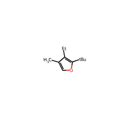 CCc1c(C)coc1C(C)(C)C